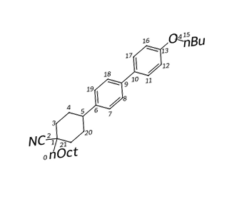 CCCCCCCCC1(C#N)CCC(c2ccc(-c3ccc(OCCCC)cc3)cc2)CC1